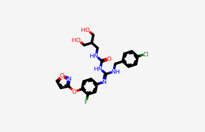 O=C(NCC(CO)CO)N/C(=N\c1ccc(Oc2ccon2)c(F)c1)NCc1ccc(Cl)cc1